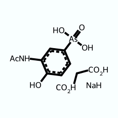 CC(=O)Nc1cc([As](=O)(O)O)ccc1O.O=C(O)CC(=O)O.[NaH]